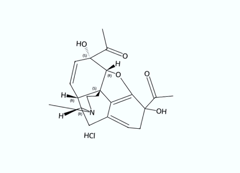 CC(=O)C1(O)CC=C2C[C@@H]3[C@@H]4C=C[C@@](O)(C(C)=O)[C@@H]5OC1=C2[C@@]54CCN3C.Cl